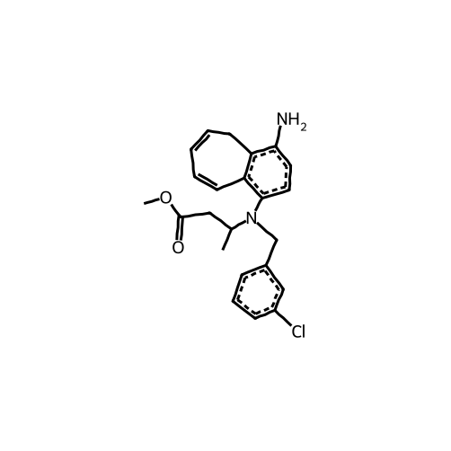 COC(=O)CC(C)N(Cc1cccc(Cl)c1)c1ccc(N)c2c1C=CC=CC2